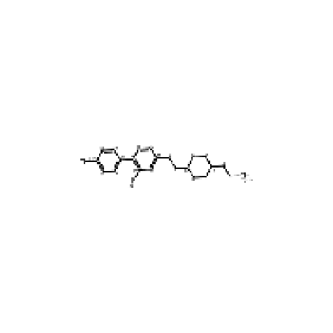 CCCC1CCC(CCc2ccc(-c3ccc(Cl)cc3)c(F)c2)CC1